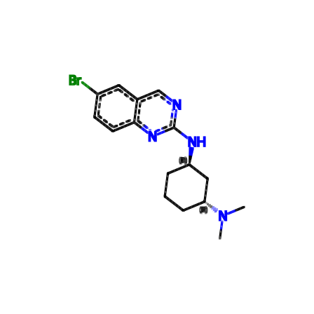 CN(C)[C@@H]1CCC[C@@H](Nc2ncc3cc(Br)ccc3n2)C1